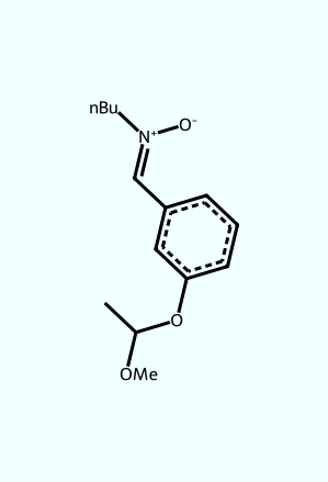 CCCC[N+]([O-])=Cc1cccc(OC(C)OC)c1